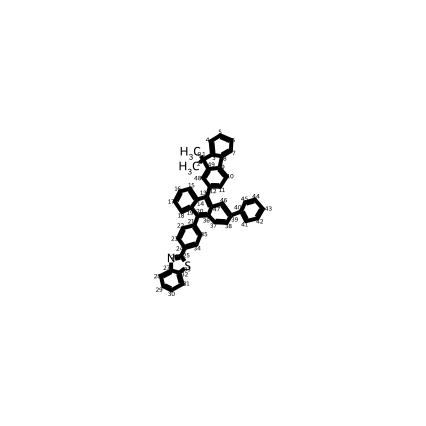 CC1(C)c2ccccc2-c2ccc(-c3c4ccccc4c(-c4ccc(-c5nc6ccccc6s5)cc4)c4ccc(-c5ccccc5)cc34)cc21